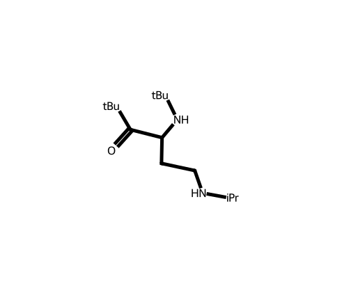 CC(C)NCCC(NC(C)(C)C)C(=O)C(C)(C)C